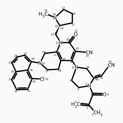 C=C(C)C(=O)N1CCN(c2c3c(n(C[C@@H]4CCCN4C)c(=O)c2C#N)CN(c2cccc4cccc(Cl)c24)CC3)CC1=CC#N